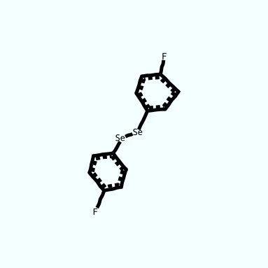 Fc1ccc([Se][Se]c2ccc(F)cc2)cc1